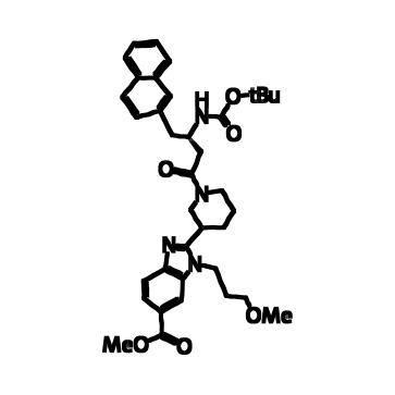 COCCCn1c(C2CCCN(C(=O)C[C@@H](Cc3ccc4ccccc4c3)NC(=O)OC(C)(C)C)C2)nc2ccc(C(=O)OC)cc21